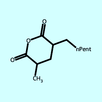 CCCCCCC1CC(C)C(=O)OC1=O